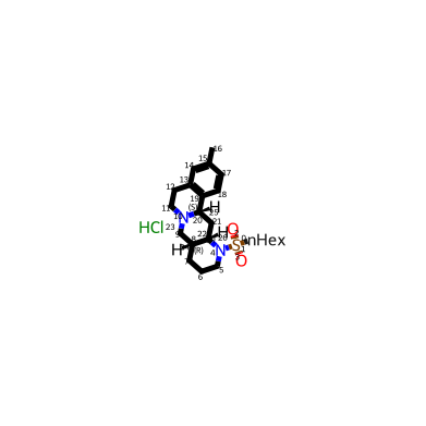 CCCCCCS(=O)(=O)N1CCC[C@@H]2CN3CCc4cc(C)ccc4[C@@H]3C[C@@H]21.Cl